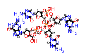 Nc1ncn([C@H]2C[C@@H](OP(=O)(O)OC[C@H]3O[C@@H](n4cnc5c(=O)[nH]c(N)nc54)C[C@H]3O)[C@@H](COP(=O)(O)O[C@@H]3C[C@H](n4cnc(N)nc4=O)O[C@@H]3COP(=O)(O)O[C@@H]3C[C@H](n4cnc5c(=O)[nH]c(N)nc54)O[C@@H]3CO)O2)c(=O)n1